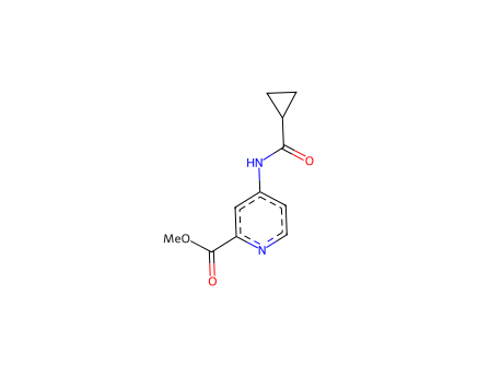 COC(=O)c1cc(NC(=O)C2CC2)ccn1